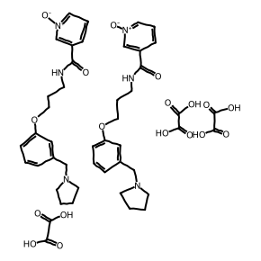 O=C(NCCCOc1cccc(CN2CCCC2)c1)c1ccc[n+]([O-])c1.O=C(NCCCOc1cccc(CN2CCCC2)c1)c1ccc[n+]([O-])c1.O=C(O)C(=O)O.O=C(O)C(=O)O.O=C(O)C(=O)O